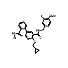 CCNC(=O)c1ccccc1-c1cnc(OCC2CC2)c(C(=O)NCc2ccc(OC)c(F)c2)c1